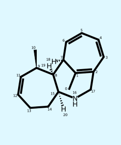 CC1=C2C=CC=C[C@@H]1[C@@H]1[C@H](C)C=CCC[C@@H]1NC2